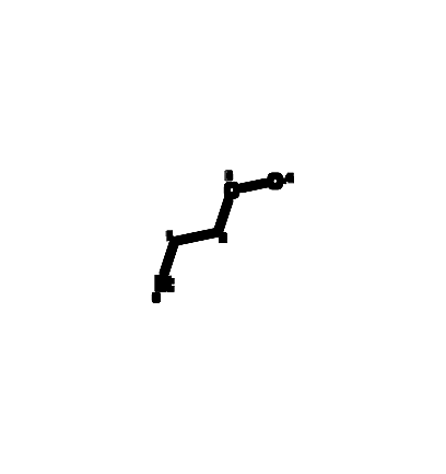 CCCCO[O]